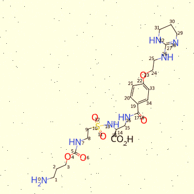 NCCCOC(=O)NCCS(=O)(=O)N[C@@H](CNC(=O)c1ccc(OCCNC2=NCCCN2)cc1)C(=O)O